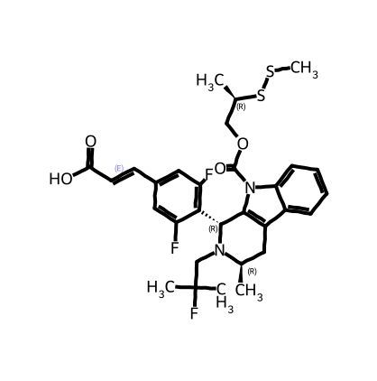 CSS[C@H](C)COC(=O)n1c2c(c3ccccc31)C[C@@H](C)N(CC(C)(C)F)[C@@H]2c1c(F)cc(/C=C/C(=O)O)cc1F